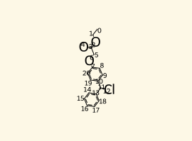 CCOC(=O)COc1ccc(C(Cl)c2ccccc2)cc1